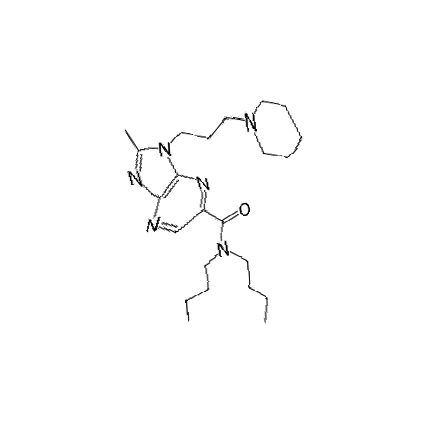 CCCCN(CCCC)C(=O)c1cnc2nc(C)n(CCCN3CCCCC3)c2n1